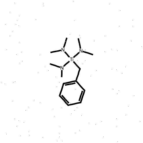 C[N](C)[Ti]([CH2]c1ccccc1)([N](C)C)[N](C)C